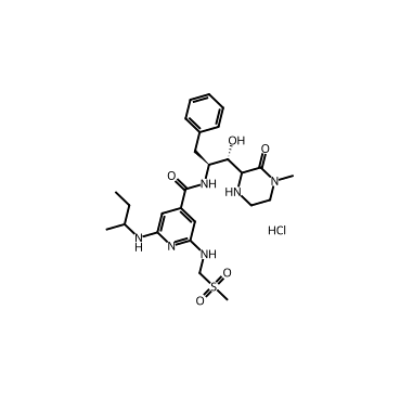 CCC(C)Nc1cc(C(=O)N[C@@H](Cc2ccccc2)[C@H](O)C2NCCN(C)C2=O)cc(NCS(C)(=O)=O)n1.Cl